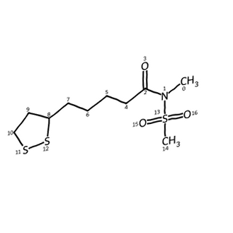 CN(C(=O)CCCCC1CCSS1)S(C)(=O)=O